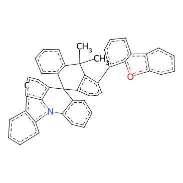 CC1(C)c2ccccc2C2(c3ccccc3-n3c4ccccc4c4cccc2c43)c2cccc(-c3cccc4c3oc3ccccc34)c21